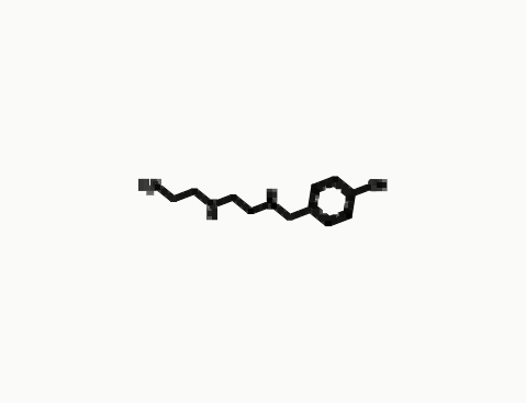 NCCNCCNCc1ccc(O)cc1